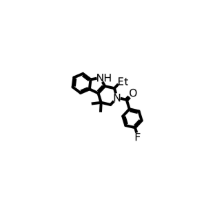 CCC1c2[nH]c3ccccc3c2C(C)(C)CN1C(=O)c1ccc(F)cc1